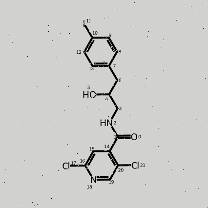 O=C(NCC(O)Cc1ccc(I)cc1)c1cc(Cl)ncc1Cl